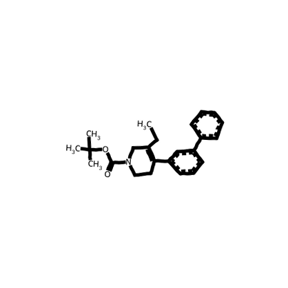 CCC1=C(c2cccc(-c3ccccc3)c2)CCN(C(=O)OC(C)(C)C)C1